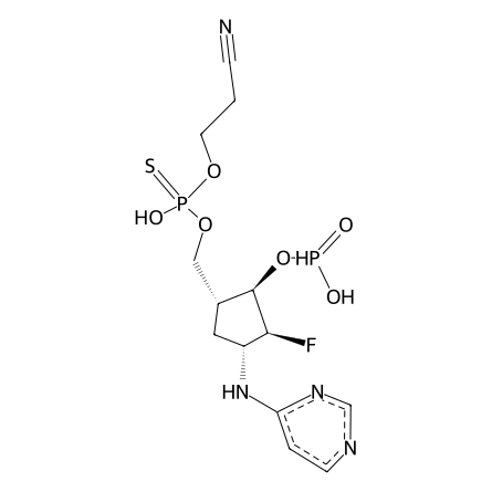 N#CCCOP(O)(=S)OC[C@H]1C[C@@H](Nc2ccncn2)[C@H](F)[C@@H]1O[PH](=O)O